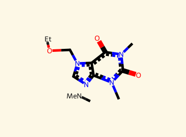 CCOCn1cnc2c1c(=O)n(C)c(=O)n2C.CNC